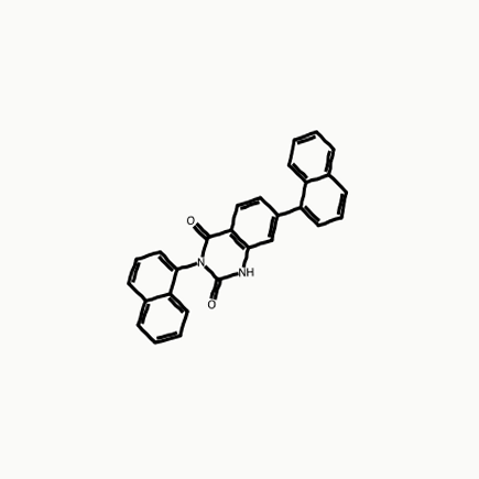 O=c1[nH]c2cc(-c3cccc4ccccc34)ccc2c(=O)n1-c1cccc2ccccc12